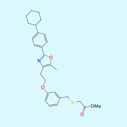 COC(=O)CSCc1cccc(OCCc2nc(-c3ccc(C4CCCCC4)cc3)oc2C)c1